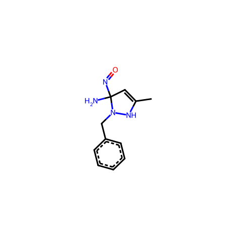 CC1=CC(N)(N=O)N(Cc2ccccc2)N1